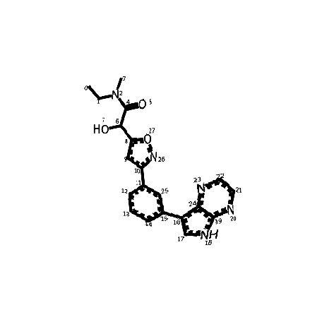 CCN(C)C(=O)C(O)c1cc(-c2cccc(-c3c[nH]c4nccnc34)c2)no1